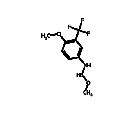 COBNc1ccc(OC)c(C(F)(F)F)c1